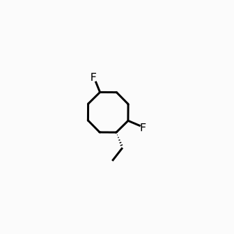 CC[C@@H]1CCCC(F)CCC1F